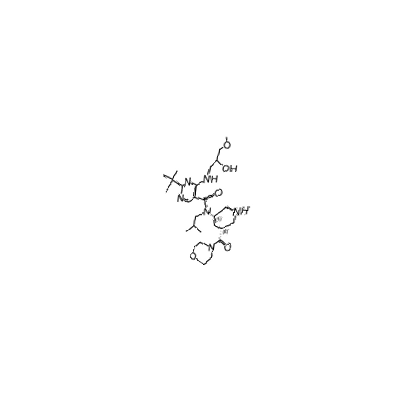 COCC(O)CNc1nc(C(C)(C)C)ncc1C(=O)N(CC(C)C)[C@@H]1CNC[C@H](C(=O)N2CCOCC2)C1